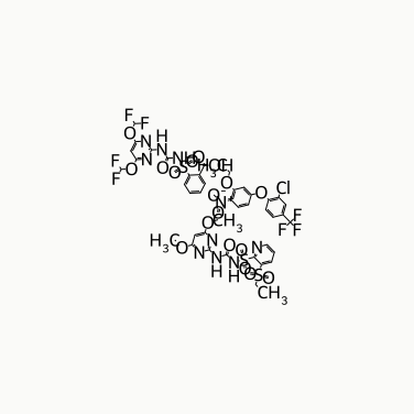 CCOc1cc(Oc2ccc(C(F)(F)F)cc2Cl)ccc1[N+](=O)[O-].CCS(=O)(=O)c1cccnc1S(=O)(=O)NC(=O)Nc1nc(OC)cc(OC)n1.O=C(Nc1nc(OC(F)F)cc(OC(F)F)n1)NS(=O)(=O)c1ccccc1C(=O)O